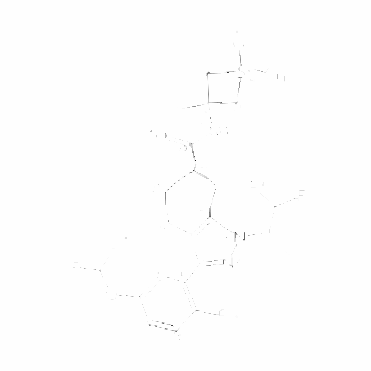 CC(C(F)F)n1nc(-c2cc(OC(F)F)ccc2F)c2c1CC(C(=O)NC1(C)CS(O)(O)C1)CC2